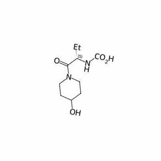 CC[C@H](NC(=O)O)C(=O)N1CCC(O)CC1